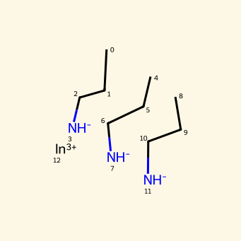 CCC[NH-].CCC[NH-].CCC[NH-].[In+3]